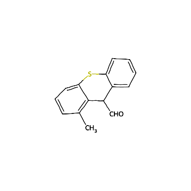 Cc1cccc2c1C(C=O)c1ccccc1S2